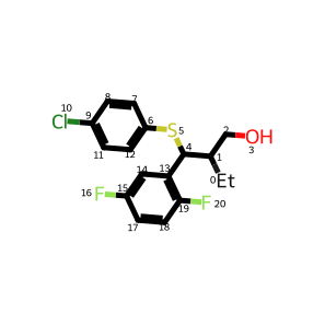 CCC(CO)C(Sc1ccc(Cl)cc1)c1cc(F)ccc1F